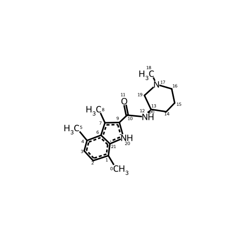 Cc1ccc(C)c2c(C)c(C(=O)N[C@@H]3CCCN(C)C3)[nH]c12